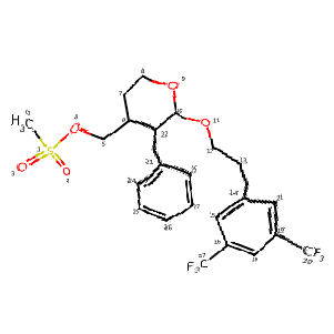 CS(=O)(=O)OCC1CCOC(OCCc2cc(C(F)(F)F)cc(C(F)(F)F)c2)C1c1ccccc1